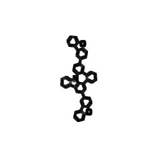 c1ccc2c(c1)-c1cc(-c3ccc4oc5ccccc5c4c3)ccc1-n1c3ccccc3c3cc(-c4ccc5oc6ccccc6c5c4)cc-2c31